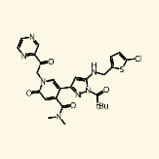 CN(C)C(=O)c1cc(=O)n(CC(=O)c2cnccn2)cc1-c1cc(NCc2ccc(Cl)s2)n(C(=O)C(C)(C)C)n1